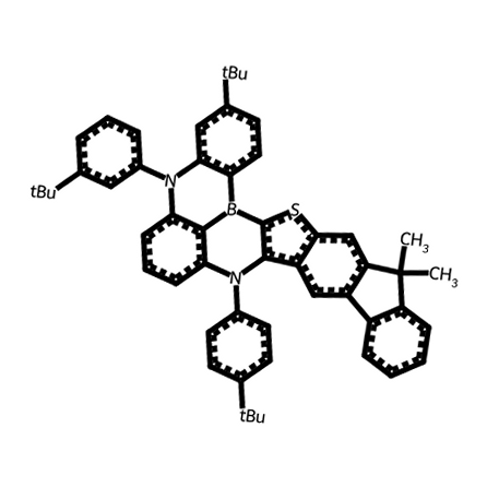 CC(C)(C)c1ccc(N2c3cccc4c3B(c3ccc(C(C)(C)C)cc3N4c3cccc(C(C)(C)C)c3)c3sc4cc5c(cc4c32)-c2ccccc2C5(C)C)cc1